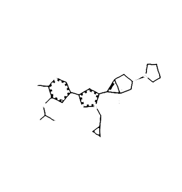 Nc1ncc(-c2cc(C3=C4C[C@@H](N5CCCC5)C[C@H]43)n(CC3CC3)n2)cc1OC(F)F